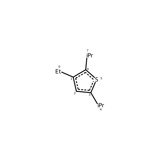 CCc1cc(C(C)C)sc1C(C)C